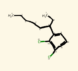 CCCCCC(CC)c1cccc(Cl)c1Cl